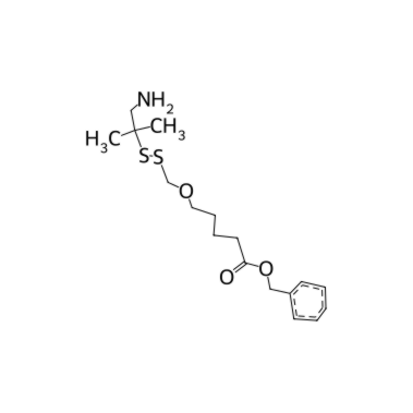 CC(C)(CN)SSCOCCCCC(=O)OCc1ccccc1